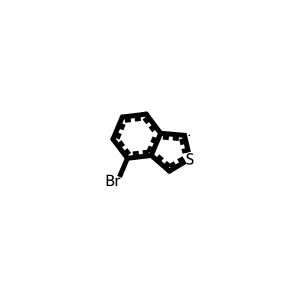 Brc1cccc2[c]scc12